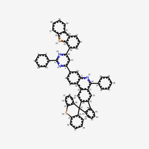 c1ccc(-c2nc(-c3ccc4c(c3)nc(-c3ccccc3)c3cc5c(cc34)C3(c4ccccc4Sc4ccccc43)c3ccccc3-5)cc(-c3cccc4c3sc3ccccc34)n2)cc1